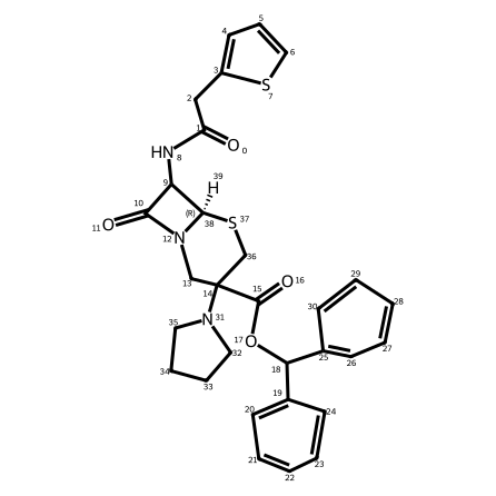 O=C(Cc1cccs1)NC1C(=O)N2CC(C(=O)OC(c3ccccc3)c3ccccc3)(N3CCCC3)CS[C@H]12